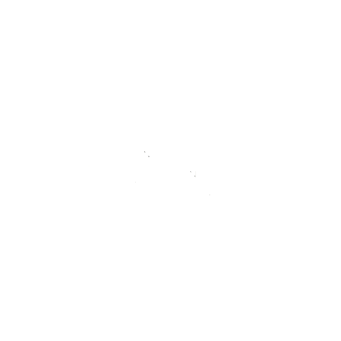 O=C(O)CCC(=O)N(C1CC1)C1c2cc(F)ccc2N(C(=O)OCc2ccccc2)C2CCC21